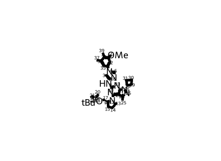 COc1cc(-n2cnc(Nc3nc(N4CCC[C@H]4CO[Si](C)(C)C(C)(C)C)c4c(C)nn(C5CCC5)c4n3)c2)cc(C)c1C